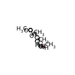 COc1cccc(C(=O)N(C)[C@H]2CC[C@@]3(C)C(=CC[C@@H]4C3CC[C@]35CN(C)[C@H]6C[C@@]63CC[C@@H]45)C2)c1